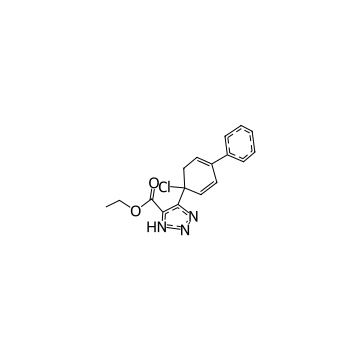 CCOC(=O)c1[nH]nnc1C1(Cl)C=CC(c2ccccc2)=CC1